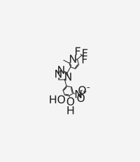 Cc1nc(C(F)(F)F)ccc1-c1nncc(-c2cc(O)c(O)c([N+](=O)[O-])c2)n1